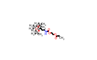 C=CC(=O)OCCOC(=O)NCCC[Si](O[Si](C)(C)C)(O[Si](C)(C)C)O[Si](C)(C)C